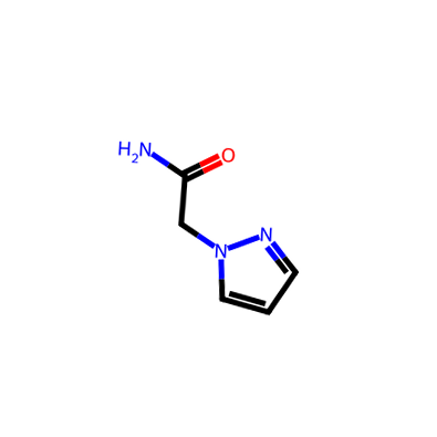 NC(=O)Cn1cccn1